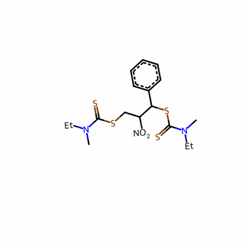 CCN(C)C(=S)SCC(C(SC(=S)N(C)CC)c1ccccc1)[N+](=O)[O-]